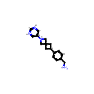 NCc1ccc(C2CC3(C2)CN(c2cncnc2)C3)cc1